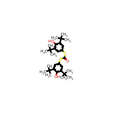 CC(C)(C)c1cc(SC(=O)Sc2cc(C(C)(C)C)c(O)c(C(C)(C)C)c2)cc(C(C)(C)C)c1O